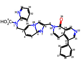 O=C(O)N(Cc1ccc2nc(Cn3ccc4c(-c5ccccc5)cncc4c3=O)cn2c1)c1ccccn1